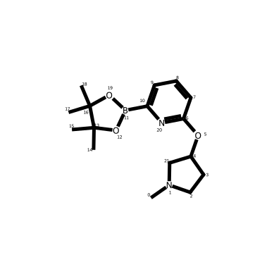 CN1CCC(Oc2cccc(B3OC(C)(C)C(C)(C)O3)n2)C1